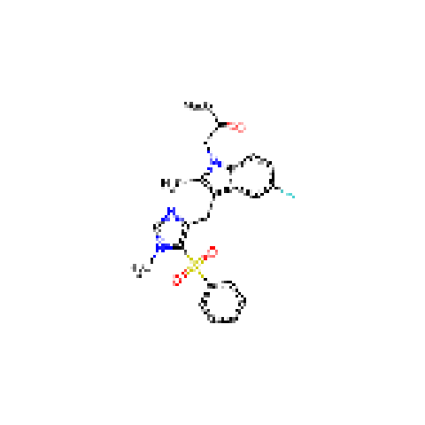 COC(=O)Cn1c(C)c(Cc2ncn(C)c2S(=O)(=O)c2ccccc2)c2cc(F)ccc21